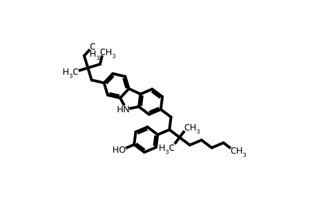 CCCCCC(C)(C)C(Cc1ccc2c(c1)[nH]c1cc(CC(C)(CC)CC)ccc12)c1ccc(O)cc1